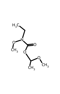 CCN(OC)C(=O)OC(C)OC